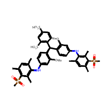 COc1cc(Nc2c(C)cc(C)c(S(C)(=O)=O)c2C)ccc1C(c1ccc(Nc2c(C)cc(C)c(S(C)(=O)=O)c2C)cc1OC)c1ccc(S(=O)(=O)O)cc1S(=O)(=O)O